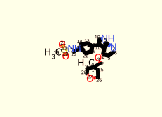 CC1(COc2ccnc3[nH]cc(-c4ccc(CNS(C)(=O)=O)cc4)c23)CCOCC1